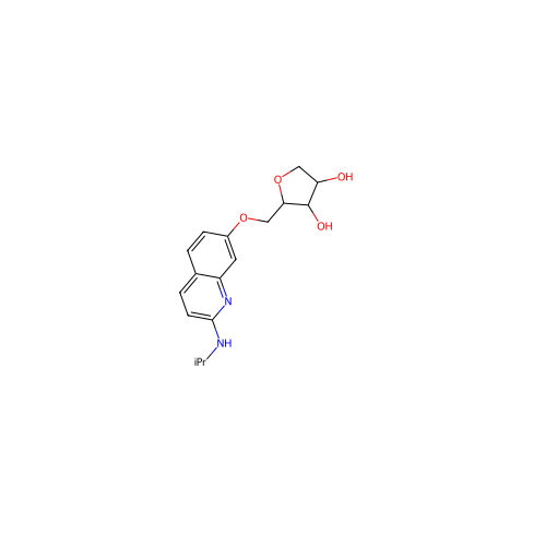 CC(C)Nc1ccc2ccc(OCC3OCC(O)C3O)cc2n1